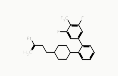 C=C(CC)CCC1CCC(c2ccccc2-c2cc(F)c(C(F)(F)F)c(F)c2)CC1